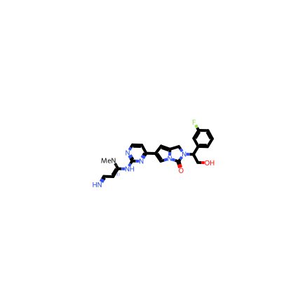 CN/C(=C\C=N)Nc1nccc(-c2cc3n(c2)C(=O)N(C(CO)c2cccc(F)c2)C3)n1